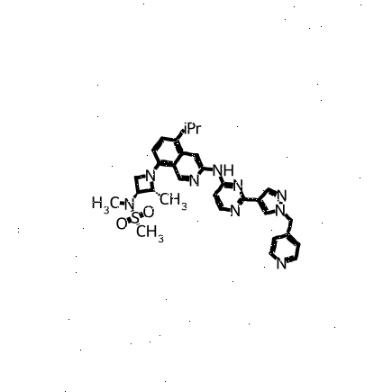 CC(C)c1ccc(N2C[C@H](N(C)S(C)(=O)=O)[C@H]2C)c2cnc(Nc3ccnc(-c4cnn(Cc5ccncc5)c4)n3)cc12